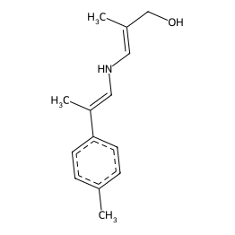 C/C(=C\N/C=C(\C)c1ccc(C)cc1)CO